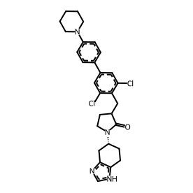 O=C1C(Cc2c(Cl)cc(-c3ccc(N4CCCCC4)cc3)cc2Cl)CCN1[C@@H]1CCc2[nH]cnc2C1